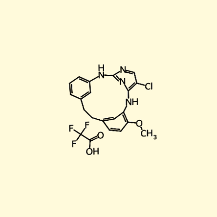 COc1ccc2cc1Nc1nc(ncc1Cl)Nc1cccc(c1)CC2.O=C(O)C(F)(F)F